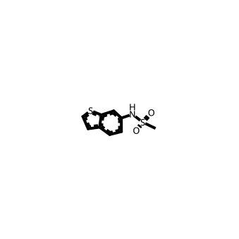 CS(=O)(=O)Nc1ccc2ccsc2c1